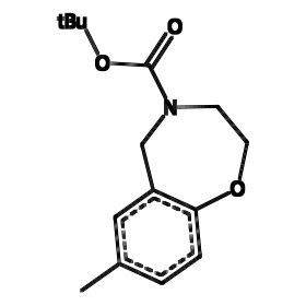 Cc1ccc2c(c1)CN(C(=O)OC(C)(C)C)CCO2